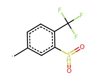 [CH2]c1ccc(C(F)(F)F)c([SH](=O)=O)c1